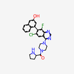 O=C(C1CCCN1)N1CCN(c2ncnc3c(F)c(-c4cc(O)cc5ccccc45)c(Cl)cc23)CC1